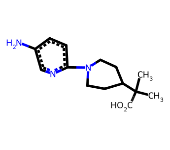 CC(C)(C(=O)O)C1CCN(c2ccc(N)cn2)CC1